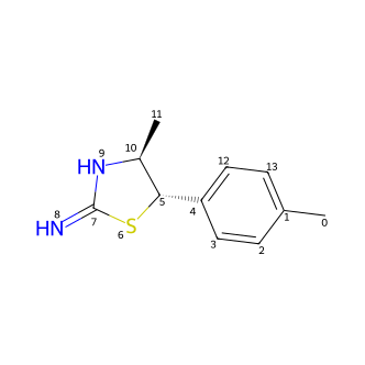 Cc1ccc([C@@H]2SC(=N)N[C@H]2C)cc1